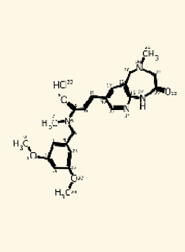 COc1cc(CN(C)C(=O)/C=C/c2cnc3c(c2)CN(C)CC(=O)N3)cc(OC)c1.Cl